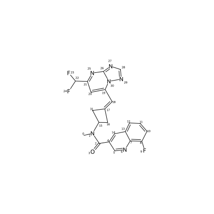 CN(C(=O)c1cnc2c(F)cccc2c1)C1CC(=Cc2cc(C(F)F)nc3ncnn23)C1